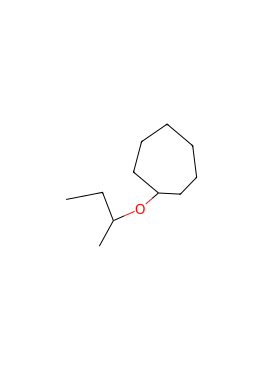 CCC(C)OC1CCCCCC1